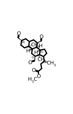 COC(=O)CC[C@@H](C)C1CC[C@H]2[C@@H]3[C@H](C=O)CC4C[C@H](C=O)CC[C@]4(C)[C@H]3C[C@H](C=O)[C@]12C